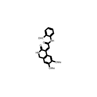 COc1cc2c(cc1OC)/C(=C/C(=O)Nc1ccccc1C=O)C(=O)NC2